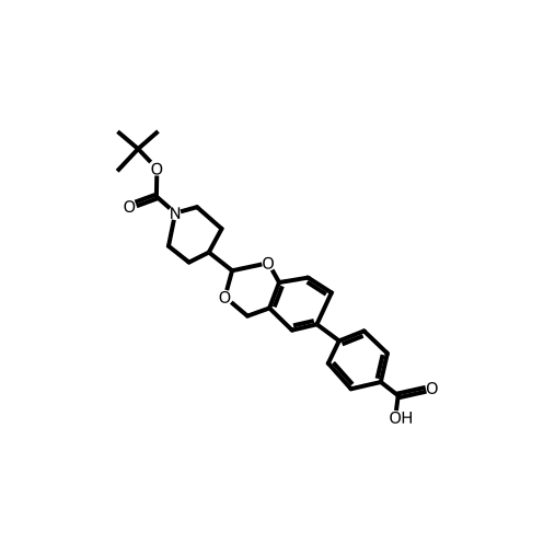 CC(C)(C)OC(=O)N1CCC(C2OCc3cc(-c4ccc(C(=O)O)cc4)ccc3O2)CC1